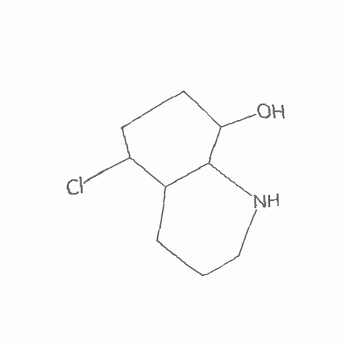 OC1CCC(Cl)C2CCCNC12